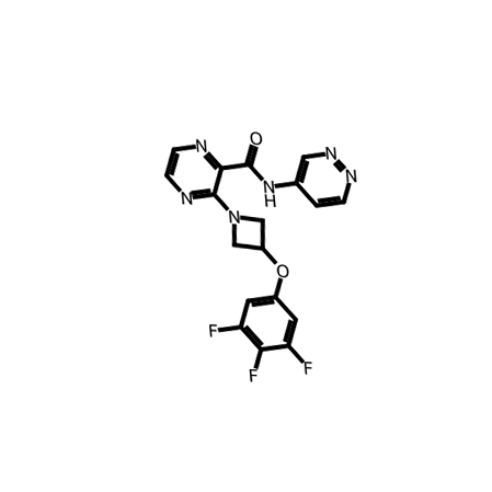 O=C(Nc1ccnnc1)c1nccnc1N1CC(Oc2cc(F)c(F)c(F)c2)C1